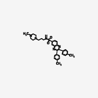 Cc1ccc(-c2nc3ccc(S(=O)(=O)NCCCN4CCN(C)CC4)cc3nc2-c2ccc(C)cc2)cc1